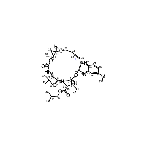 CC[C@@H]1[C@@H]2CN(C(=O)[C@H](C(C)(C)C)NC(=O)O[C@@]3(C)C[C@@H]3CCC/C=C/c3nc4ccc(OC)cc4nc3O2)[C@@H]1C(=O)OCC(C)C